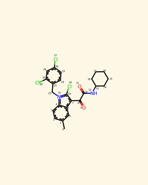 Cc1ccc2c(c1)c(C(=O)C(=O)NC1CCCCC1)c(Cl)n2Cc1ccc(Cl)cc1Cl